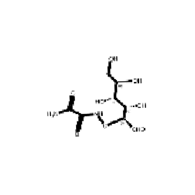 NC(=O)C(=O)NO[C@H](C=O)[C@@H](O)[C@H](O)[C@H](O)CO